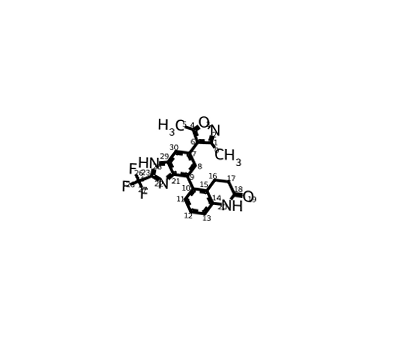 Cc1noc(C)c1-c1cc(-c2cccc3c2CCC(=O)N3)c2nc(C(F)(F)F)[nH]c2c1